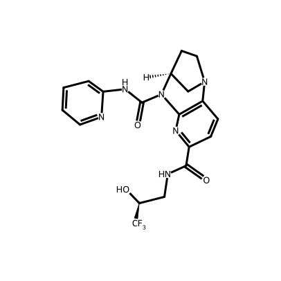 O=C(NC[C@H](O)C(F)(F)F)c1ccc2c(n1)N(C(=O)Nc1ccccn1)[C@H]1CCN2C1